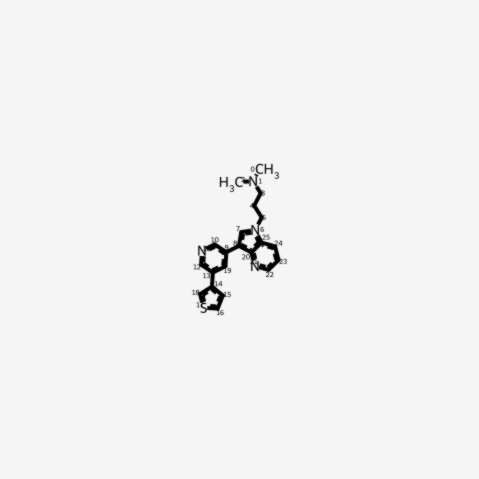 CN(C)CCCn1cc(-c2cncc(-c3ccsc3)c2)c2ncccc21